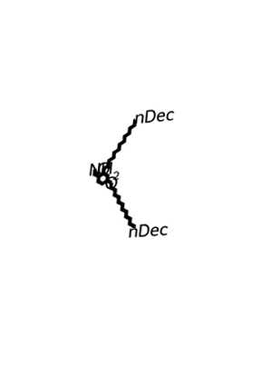 CCCCCCCCCCCCCCCCCCCCCCOC1CCC(CN)C(OCCCCCCCCCCCCCCCCCCCCCC)C1